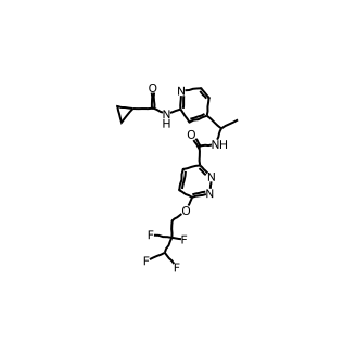 CC(NC(=O)c1ccc(OCC(F)(F)C(F)F)nn1)c1ccnc(NC(=O)C2CC2)c1